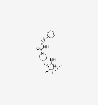 CC1CC2(C)C(=O)N(CC3CCN(C(=O)N[C@@H]4C[C@H]4c4ccccc4)CC3)C(=N)N12